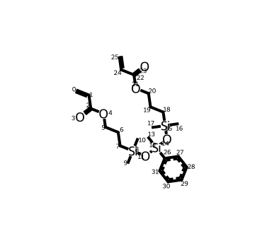 C=CC(=O)OCCC[Si](C)(C)O[Si](C)(O[Si](C)(C)CCCOC(=O)C=C)c1ccccc1